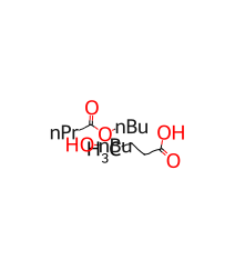 CCCC(=O)O.CCCCO.CCCCOC(=O)CCC